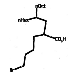 CCCCCCCCC(CCCCCC)CC(CCCCBr)C(=O)O